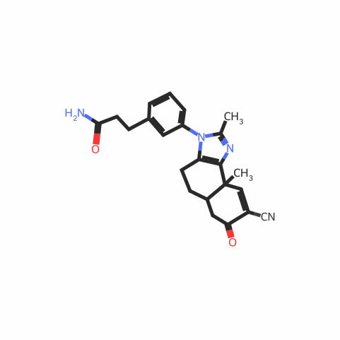 Cc1nc2c(n1-c1cccc(CCC(N)=O)c1)CCC1CC(=O)C(C#N)=CC21C